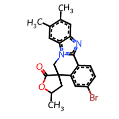 Cc1cc2nc3n(c2cc1C)CC1(CC(C)OC1=O)c1cc(Br)ccc1-3